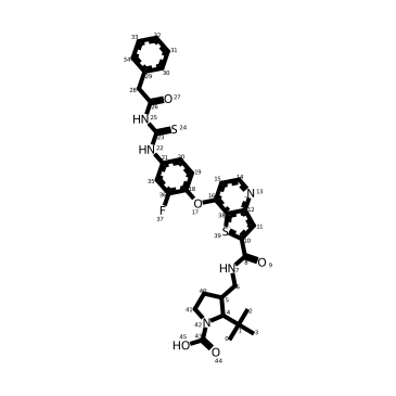 CC(C)(C)C1C(CNC(=O)c2cc3nccc(Oc4ccc(NC(=S)NC(=O)Cc5ccccc5)cc4F)c3s2)CCN1C(=O)O